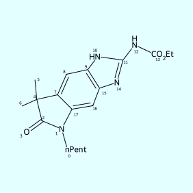 CCCCCN1C(=O)C(C)(C)c2cc3[nH]c(NC(=O)OCC)nc3cc21